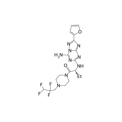 CC[C@H](Nc1nc(N)n2nc(-c3ccco3)nc2n1)C(=O)N1CCN(CC(F)(F)C(F)F)CC1